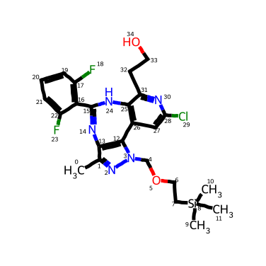 Cc1nn(COCC[Si](C)(C)C)c2c1N=C(c1c(F)cccc1F)Nc1c-2cc(Cl)nc1CCO